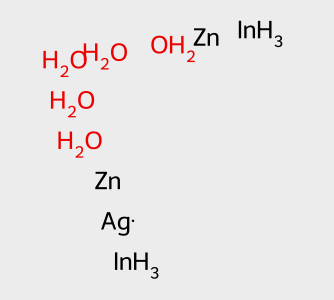 O.O.O.O.O.[Ag].[InH3].[InH3].[Zn].[Zn]